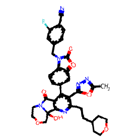 Cc1nnc(-c2c(CCC3CCOCC3)nc3c(c2-c2ccc4c(c2)oc(=O)n4Cc2ccc(C#N)c(F)c2)C(=O)N2CCOCC32O)o1